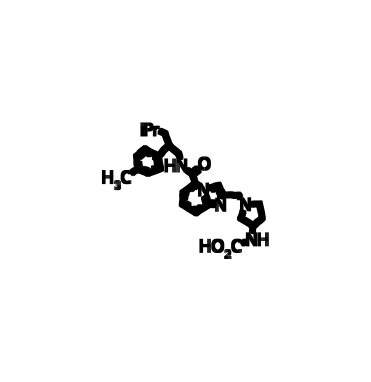 Cc1ccc(C(CNC(=O)c2cccc3nc(CN4CCC(NC(=O)O)C4)cn23)CC(C)C)cc1